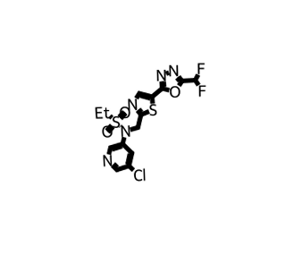 CCS(=O)(=O)N(Cc1ncc(-c2nnc(C(F)F)o2)s1)c1cncc(Cl)c1